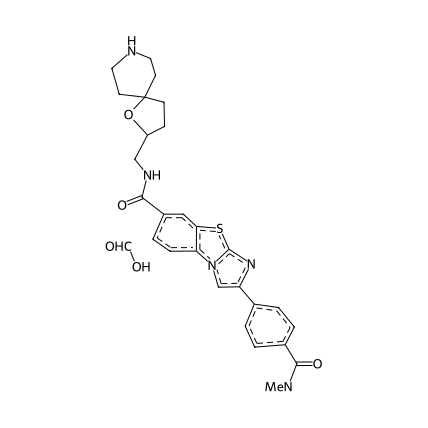 CNC(=O)c1ccc(-c2cn3c(n2)sc2cc(C(=O)NCC4CCC5(CCNCC5)O4)ccc23)cc1.O=CO